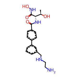 C[C@@H](O)[C@H](NC(=O)c1ccc(-c2cccc(CNCCN)c2)cc1)C(=O)NO